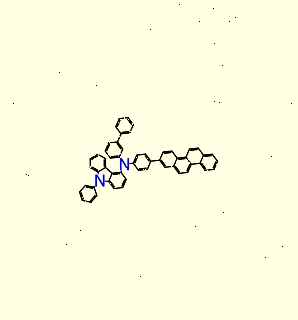 c1ccc(-c2cccc(N(c3ccc(-c4ccc5c(ccc6c7ccccc7ccc56)c4)cc3)c3cccc4c3c3ccccc3n4-c3ccccc3)c2)cc1